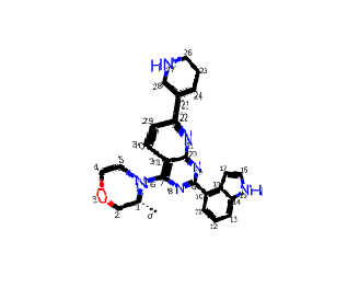 C[C@@H]1COCCN1c1nc(-c2cccc3[nH]ccc23)nc2nc(C3CCCNC3)ccc12